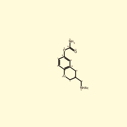 CC(=O)NCC1COc2ccc(OC(N)=O)cc2C1